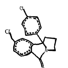 O=C1c2ccc(Cl)cc2C2(c3ccc(Cl)cc3)CCCN12